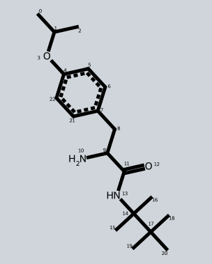 CC(C)Oc1ccc(CC(N)C(=O)NC(C)(C)C(C)(C)C)cc1